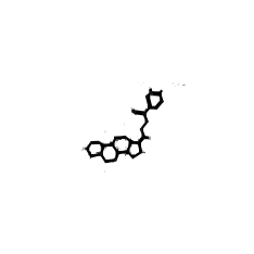 COc1ccc(C(CCC(C(=O)O)=C2[C@@H](OC(C)=O)C[C@@]3(C)[C@@H]2C[C@@H](O)[C@@H]2[C@@]4(C)CC[C@@H](O)[C@@H](C)C4CC[C@@]23C)=C(C)C)cc1OC